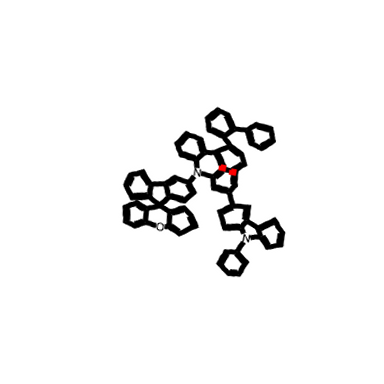 c1ccc(-c2ccccc2-c2ccccc2-c2ccccc2N(c2cccc(-c3ccc4c(c3)c3ccccc3n4-c3ccccc3)c2)c2ccc3c(c2)-c2ccccc2C32c3ccccc3Oc3ccccc32)cc1